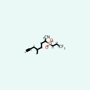 C#CCC(C)CCC(C#N)S(=O)(=O)CCC(F)(F)F